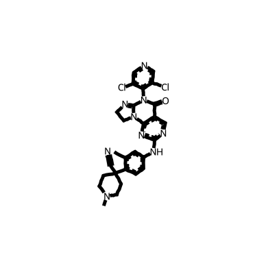 Cc1cc(Nc2ncc3c(n2)N2CCN=C2N(c2c(Cl)cncc2Cl)C3=O)ccc1C1(C#N)CCN(C)CC1